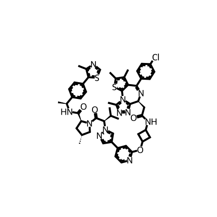 Cc1ncsc1-c1ccc([C@H](C)NC(=O)[C@@H]2C[C@@H](C)CN2C(=O)[C@@H](C(C)C)n2cc(-c3ccnc(OC4CC(NC(=O)C[C@@H]5N=C(c6ccc(Cl)cc6)c6c(sc(C)c6C)-n6c(C)nnc65)C4)c3)cn2)cc1